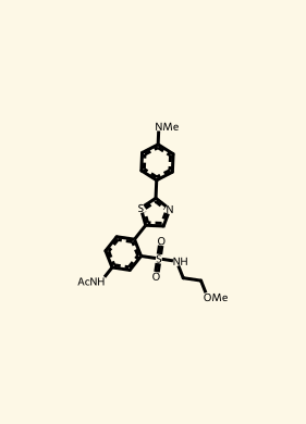 CNc1ccc(-c2ncc(-c3ccc(NC(C)=O)cc3S(=O)(=O)NCCOC)s2)cc1